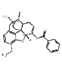 COc1ccc2c3c1O[C@H]1C(OC(=O)c4ccccc4)=CCC4[C@@H](C2)N(C)CCC341